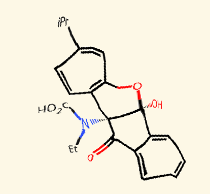 CCN(C(=O)O)[C@@]12C(=O)c3ccccc3[C@]1(O)Oc1cc(C(C)C)ccc12